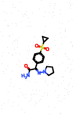 NC(=O)/C(=N/N1CCCC1)c1ccc(S(=O)(=O)C2CC2)cc1